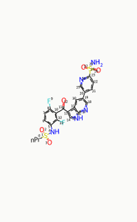 CCCS(=O)(=O)Nc1ccc(F)c(C(=O)c2c[nH]c3ncc(-c4ccc(S(N)(=O)=O)nc4)cc23)c1F